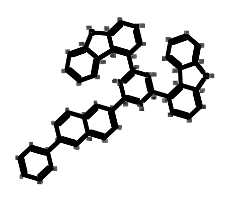 c1ccc(-c2ccc3cc(-c4nc(-c5cccc6oc7ccccc7c56)nc(-c5cncc6oc7ccccc7c56)n4)ccc3c2)cc1